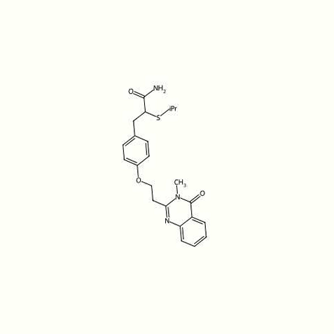 CC(C)SC(Cc1ccc(OCCc2nc3ccccc3c(=O)n2C)cc1)C(N)=O